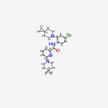 O=C(Nc1ccc(Br)cc1N1CCC2(CC1)CC2)c1cccc(N2CCC(F)(F)CC2)n1